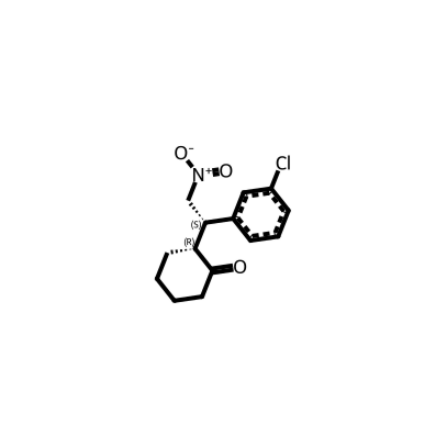 O=C1CCCC[C@@H]1[C@H](C[N+](=O)[O-])c1cccc(Cl)c1